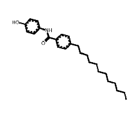 CCCCCCCCCCCCc1ccc(C(=O)Nc2ccc(O)cc2)cc1